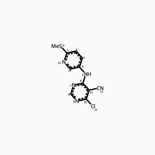 CSc1ccc(Nc2ncnc(Cl)c2C#N)cn1